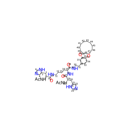 CC(=O)NC(Cc1cnc[nH]1)C(=O)NCCCCC(NC(=O)C(Cc1cnc[nH]1)NC(C)=O)C(=O)NCCc1ccc2c(c1)OC1CCCCCCCC(CC1)O2